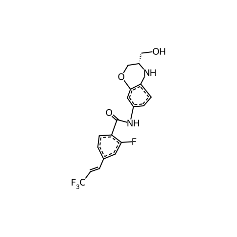 O=C(Nc1ccc2c(c1)OC[C@H](CO)N2)c1ccc(C=CC(F)(F)F)cc1F